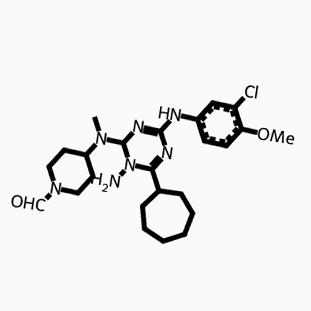 COc1ccc(NC2=NC(N(C)C3CCN(C=O)CC3)N(N)C(C3CCCCCC3)=N2)cc1Cl